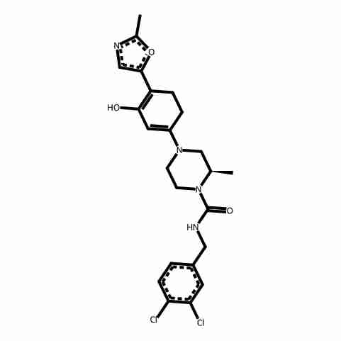 Cc1ncc(C2=C(O)C=C(N3CCN(C(=O)NCc4ccc(Cl)c(Cl)c4)[C@H](C)C3)CC2)o1